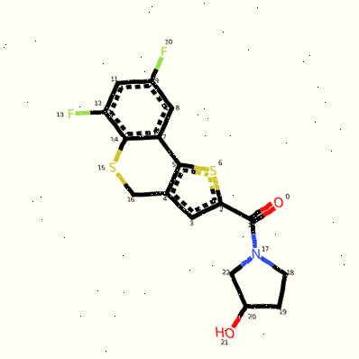 O=C(c1cc2c(s1)-c1cc(F)cc(F)c1SC2)N1CCC(O)C1